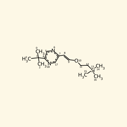 CC(C)(C)c1cnc(C=COCC[Si](C)(C)C)cn1